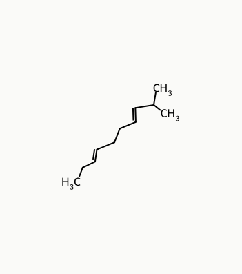 CCC=CCCC=CC(C)C